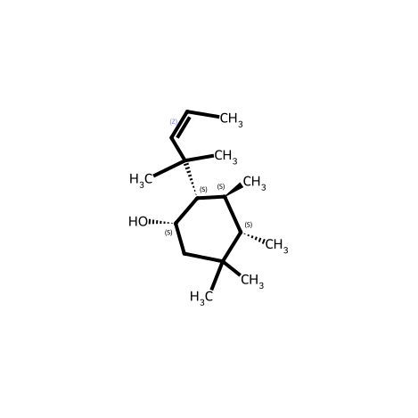 C/C=C\C(C)(C)[C@@H]1[C@@H](C)[C@H](C)C(C)(C)C[C@@H]1O